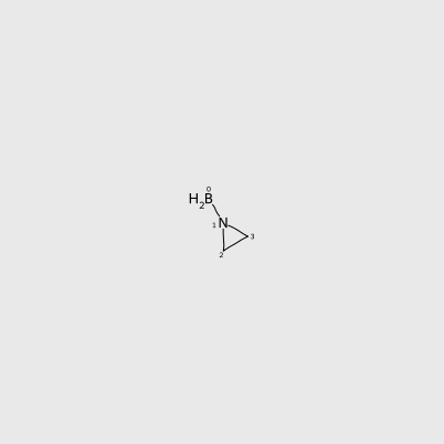 BN1CC1